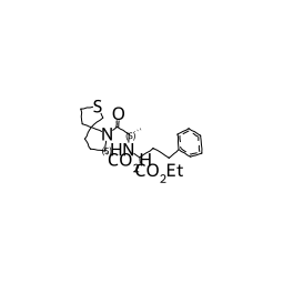 CCOC(=O)C(CCc1ccccc1)N[C@@H](C)C(=O)N1[C@H](C(=O)O)CCC12CCSC2